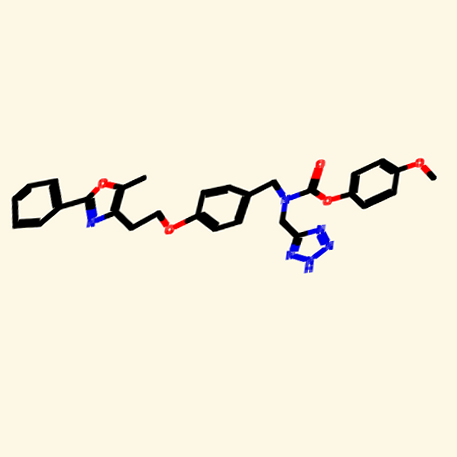 COc1ccc(OC(=O)N(Cc2ccc(OCCc3nc(-c4ccccc4)oc3C)cc2)Cc2nn[nH]n2)cc1